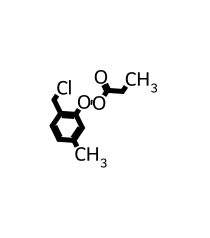 CCC(=O)OOc1cc(C)ccc1CCl